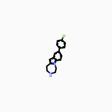 Clc1ccc(-c2ccc3c(c2)cc2n3CCNCC2)cc1